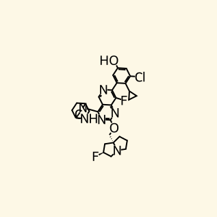 Oc1cc(Cl)c(C2CC2)c(-c2ncc3c(N4CC5CCC4CN5)nc(OC[C@]45CCCN4C[C@@H](F)C5)nc3c2F)c1